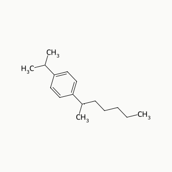 CCCCC[C](C)c1ccc(C(C)C)cc1